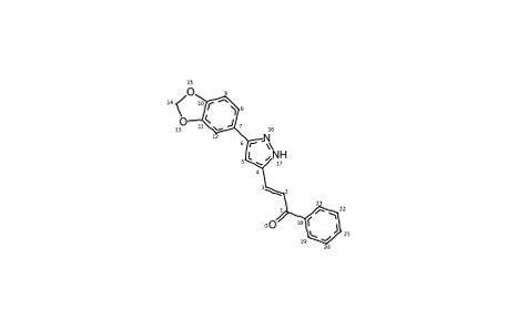 O=C(/C=C/c1cc(-c2ccc3c(c2)OCO3)n[nH]1)c1ccccc1